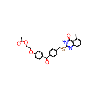 CC(=O)OCCOc1ccc(C(=O)c2ccc(CSc3nc4cccc(C)c4c(=O)n3C)cc2)cc1